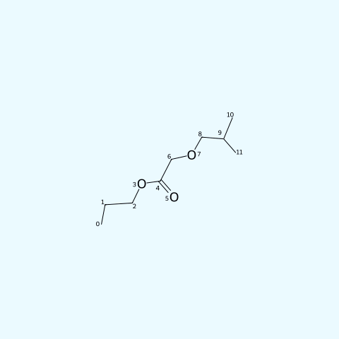 CCCOC(=O)COCC(C)C